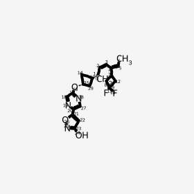 C=C(/C=C\C(=C/C)C1CC(F)(F)C1)[C@H]1C[C@@H](Oc2cnc(-c3cc(O)no3)cn2)C1